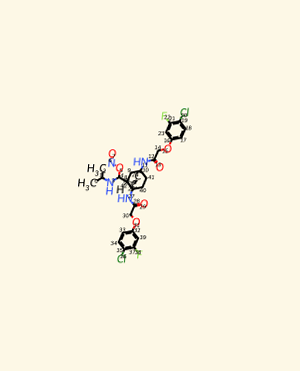 CC(C)NC(ON=O)[C@H]1CC2(NC(=O)COc3ccc(Cl)c(F)c3)CCC1(NC(=O)COc1ccc(Cl)c(F)c1)CC2